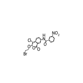 O=C(Nc1ccc2c(Cl)c(OCCBr)oc(=O)c2c1)c1cccc([N+](=O)[O-])c1